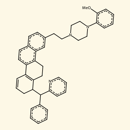 COc1ccccc1N1CCN(CCc2ccc3ccc4c(c3c2)CCC2=C4C=CCC2C(c2ccccc2)c2ccccn2)CC1